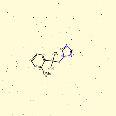 CCCC(C#N)(Cn1cncn1)c1ccccc1OC